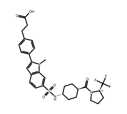 Cn1c(-c2ccc(CCC(=O)O)cc2)cc2ccc(S(=O)(=O)N[C@H]3CC[C@H](C(=O)N4CCC[C@@H]4C(F)(F)F)CC3)cc21